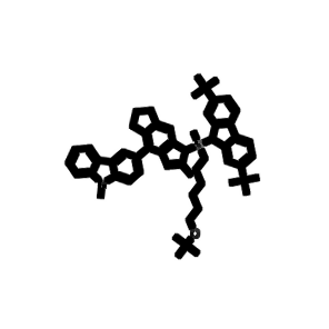 CC1=Cc2c(cc3c(c2-c2ccc4c(c2)c2ccccc2n4C)CCC3)C1[Si](C)(CCCCCCOC(C)(C)C)C1c2cc(C(C)(C)C)ccc2-c2ccc(C(C)(C)C)cc21